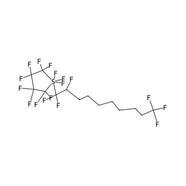 FC(CCCCCCCC(F)(F)F)C(F)(F)S1(F)(F)(F)C(F)(F)C(F)(F)C(F)(F)C1(F)F